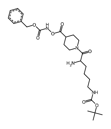 CC(C)(C)OC(=O)NCCCCC(N)C(=O)N1CCC(C(=O)ONC(=O)OCc2ccccc2)CC1